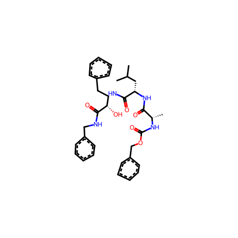 CC(C)C[C@H](NC(=O)[C@H](C)NC(=O)OCc1ccccc1)C(=O)NC(Cc1ccccc1)[C@H](O)C(=O)NCc1ccccc1